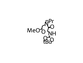 CCCN(CC(=O)OC)C(=O)CNC(=O)OC(C)(C)C